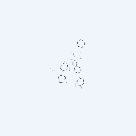 Cn1cc(-c2ccc(N(C(=O)NCc3ccccc3)C3(Nc4ncc(C#N)c(-c5cncnc5)n4)CCCCC3)cc2)ccc1=O